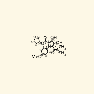 COc1ccc(-n2c(C(=O)OC3CCCC3)c(O)c(O)c2C(=O)N(C)C)cc1